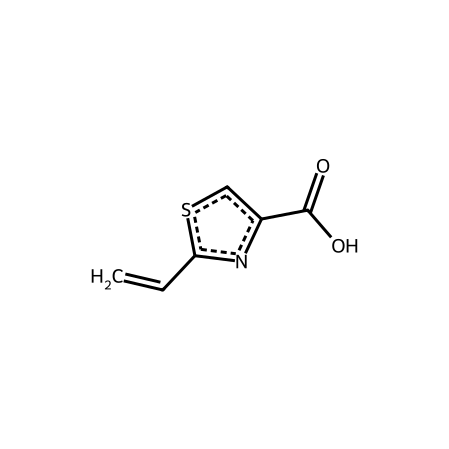 C=Cc1nc(C(=O)O)cs1